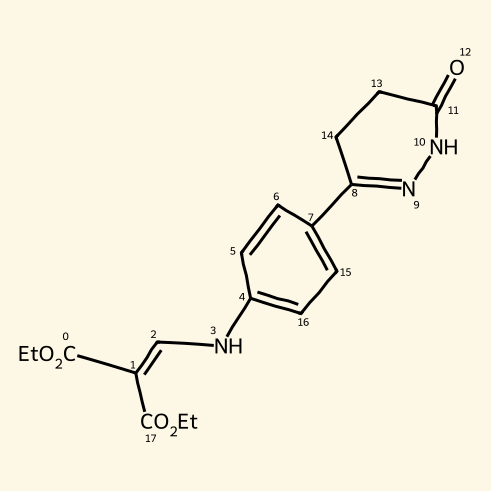 CCOC(=O)C(=CNc1ccc(C2=NNC(=O)CC2)cc1)C(=O)OCC